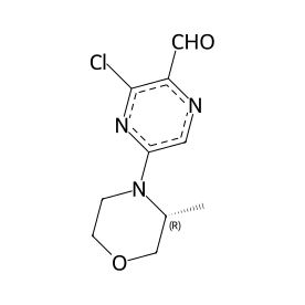 C[C@@H]1COCCN1c1cnc(C=O)c(Cl)n1